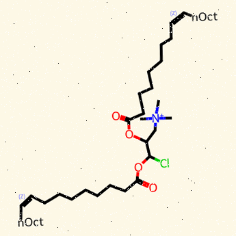 CCCCCCCC/C=C\CCCCCCCC(=O)OC(Cl)C(C[N+](C)(C)C)OC(=O)CCCCCCC/C=C\CCCCCCCC